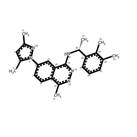 Cc1cc(C)n(-c2ccc3c(C)nnc(N[C@H](C)c4cccc(C)c4C)c3c2)n1